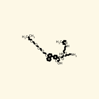 Cc1ccnc(NCCCC(=O)N[C@@H](CCCCN)C(=O)N[C@@H](CC(=O)O)c2ccc(-c3ccc(OCCOCCOCCOCCOCCC(C)C)c4ccccc34)cc2)c1